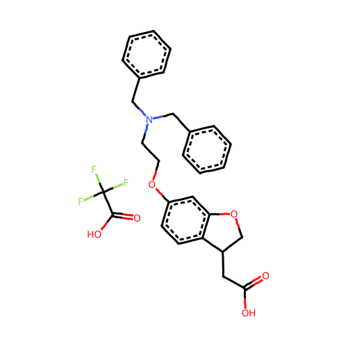 O=C(O)C(F)(F)F.O=C(O)CC1COc2cc(OCCN(Cc3ccccc3)Cc3ccccc3)ccc21